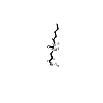 CCCCCNC(=O)NCCC[SiH3]